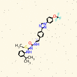 CCS/C(=N\C(=O)N/C=C/c1ccc(-c2ncn(-c3ccc(OC(F)(F)F)cc3)n2)cc1)Nc1ccccc1C(C)C